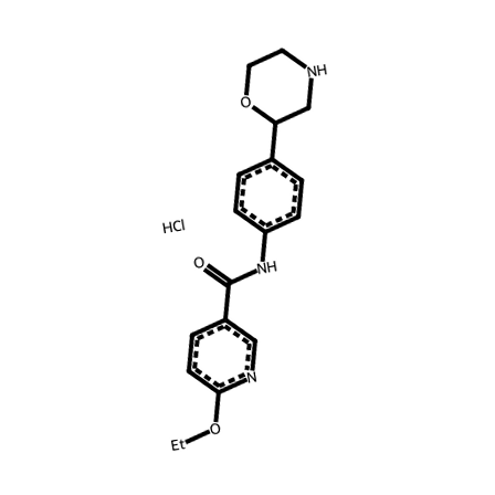 CCOc1ccc(C(=O)Nc2ccc(C3CNCCO3)cc2)cn1.Cl